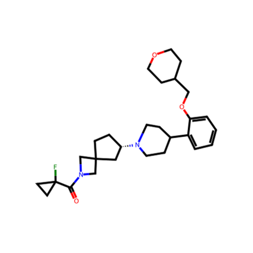 O=C(N1CC2(CC[C@H](N3CCC(c4ccccc4OCC4CCOCC4)CC3)C2)C1)C1(F)CC1